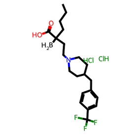 BC(CCCC)(CCN1CCC(Cc2ccc(C(F)(F)F)cc2)CC1)C(=O)O.Cl.Cl